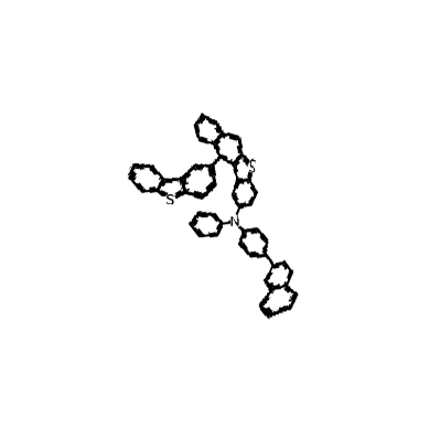 c1ccc(N(c2ccc(-c3ccc4ccccc4c3)cc2)c2ccc3sc4cc5ccccc5c(-c5ccc6sc7ccccc7c6c5)c4c3c2)cc1